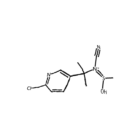 CS(O)=[N+](C#N)C(C)(C)c1ccc(Cl)nc1